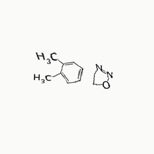 C1CON=N1.Cc1ccccc1C